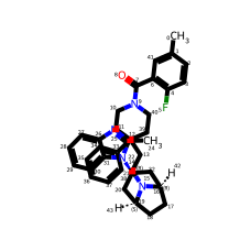 Cc1ccc(F)c(C(=O)N2CCC(CCN3[C@@H]4CC[C@H]3C[C@@H](n3c(C)nc5ccccc53)C4)(c3ccccc3)CC2)c1